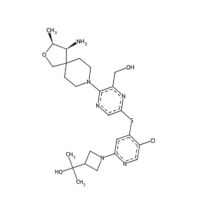 C[C@@H]1OCC2(CCN(c3ncc(Sc4cc(N5CC(C(C)(C)O)C5)ncc4Cl)nc3CO)CC2)[C@@H]1N